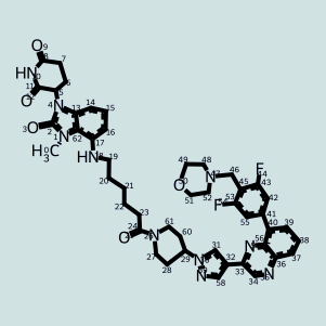 Cn1c(=O)n(C2CCC(=O)NC2=O)c2cccc(NCCCCCC(=O)N3CCC(n4cc(-c5cnc6cccc(-c7cc(F)c(CN8CCOCC8)c(F)c7)c6n5)cn4)CC3)c21